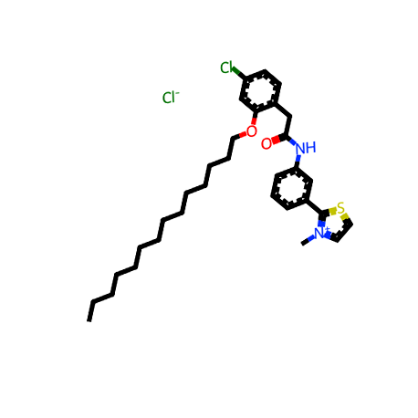 CCCCCCCCCCCCCCOc1cc(Cl)ccc1CC(=O)Nc1cccc(-c2scc[n+]2C)c1.[Cl-]